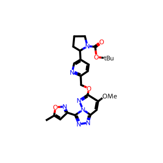 COc1cc2nnc(-c3cc(C)on3)n2nc1OCc1ccc(C2CCCN2C(=O)OC(C)(C)C)cn1